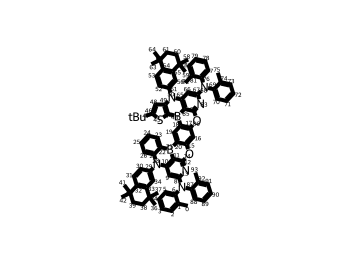 Cc1ccccc1N(c1cc2c3c(n1)Oc1cc4c(cc1B3c1ccccc1N2c1ccc2c(c1)C(C)(C)CCC2(C)C)B1c2sc(C(C)(C)C)cc2N(c2ccc3c(c2)C(C)(C)CCC3(C)C)c2cc(N(c3ccccc3C)c3ccccc3C)nc(c21)O4)c1ccccc1C